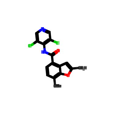 COc1ccc(C(=O)Nc2c(Cl)cncc2Cl)c2cc(C(=O)O)oc12